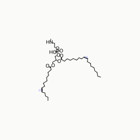 CCCC/C=C\CCCCCCCC(=O)OCC(COP(=O)(O)OCCNC)OC(=O)CCCCCCC/C=C\CCCCCCCC